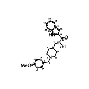 CCN(CC1CCN(Cc2ccc(OC)cc2)CC1)C(=O)c1cc2ccccc2[nH]1